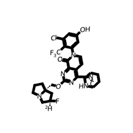 [2H][C@]1(F)CN2CCC[C@@]2(COc2nc(N3CC4CCC3CN4)c3ccn(-c4cc(O)cc(Cl)c4C(F)(F)F)c(=O)c3n2)C1